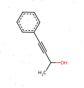 [CH2]C(O)C#Cc1ccccc1